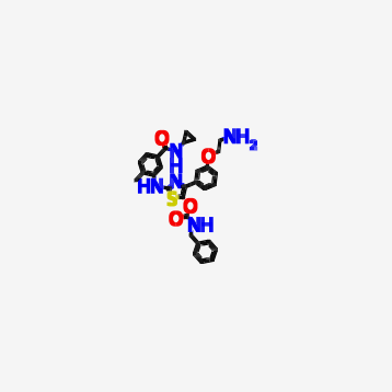 Cc1ccc(C(=O)NC2CC2)cc1Nc1nc(-c2cccc(OCCN)c2)c(OC(=O)NCc2ccccc2)s1